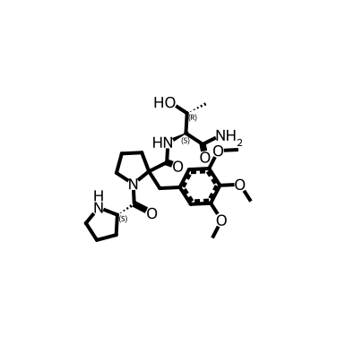 COc1cc(CC2(C(=O)N[C@H](C(N)=O)[C@@H](C)O)CCCN2C(=O)[C@@H]2CCCN2)cc(OC)c1OC